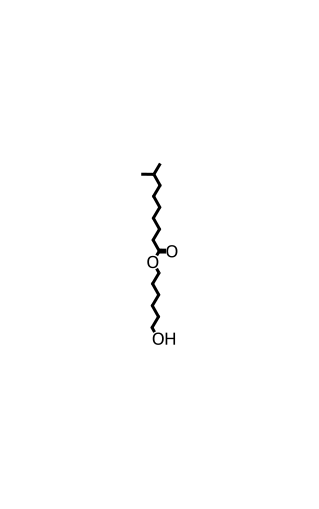 CC(C)CCCCCCC(=O)OCCCCCCO